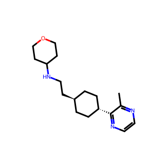 Cc1nccnc1[C@H]1CC[C@H](CCNC2CCOCC2)CC1